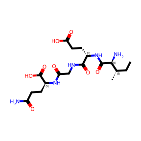 CC[C@H](C)[C@H](N)C(=O)N[C@@H](CCC(=O)O)C(=O)NCC(=O)N[C@@H](CCC(N)=O)C(=O)O